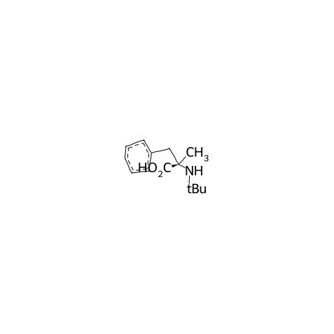 CC(C)(C)N[C@@](C)(Cc1ccccc1)C(=O)O